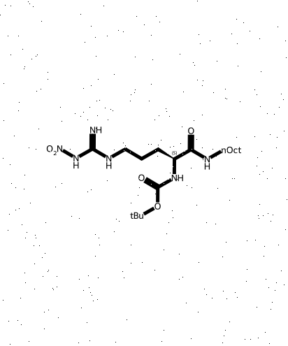 CCCCCCCCNC(=O)[C@H](CCCNC(=N)N[N+](=O)[O-])NC(=O)OC(C)(C)C